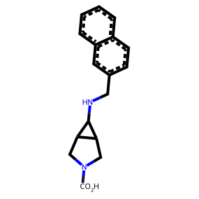 O=C(O)N1CC2C(C1)C2NCc1ccc2ccccc2c1